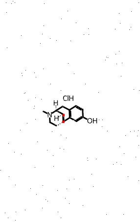 CN1CC[C@@]23CCCC[C@@H]2[C@@H]1Cc1ccc(O)cc13.Cl